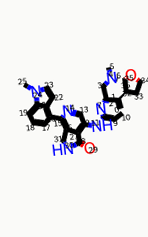 C=C(/C(CN(C)C)=N\C(=C/C)Nc1cnc(-c2cccc3c2ccn3C)c2c1C(=O)NC2)[C@@H]1CCOC1